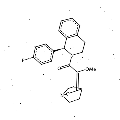 CO/C(C(=O)N1CCc2ccccc2[C@@H]1c1ccc(F)cc1)=C1/CN2CCC1CC2